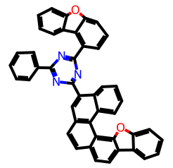 c1ccc(-c2nc(-c3cc4ccc5ccc6c7ccccc7oc6c5c4c4ccccc34)nc(-c3cccc4oc5ccccc5c34)n2)cc1